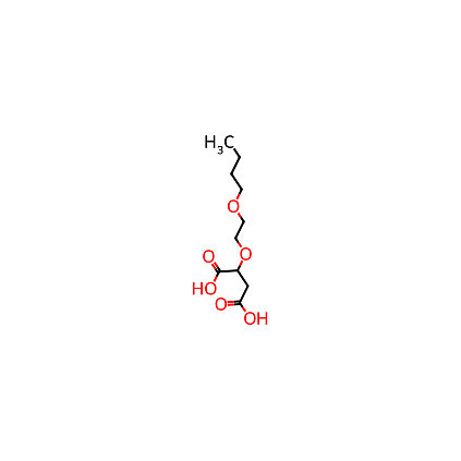 CCCCOCCOC(CC(=O)O)C(=O)O